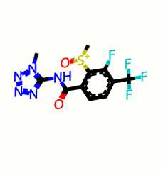 Cn1nnnc1NC(=O)c1ccc(C(F)(F)F)c(F)c1[S+](C)[O-]